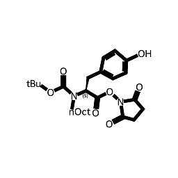 CCCCCCCCN(C(=O)OC(C)(C)C)[C@@H](Cc1ccc(O)cc1)C(=O)ON1C(=O)CCC1=O